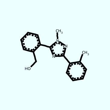 Cc1ccccc1-c1nc(-c2ccccc2CO)n(C)n1